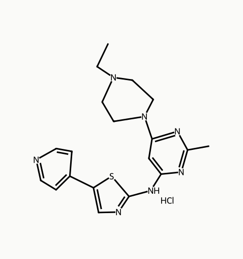 CCN1CCN(c2cc(Nc3ncc(-c4ccncc4)s3)nc(C)n2)CC1.Cl